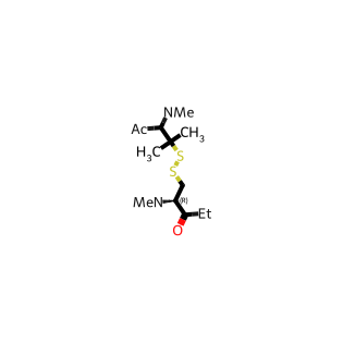 CCC(=O)[C@H](CSSC(C)(C)C(NC)C(C)=O)NC